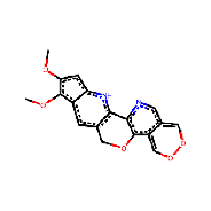 COc1cc2[nH]c3c(cc-2c1OC)COc1c-3ncc2c1=COOC=2